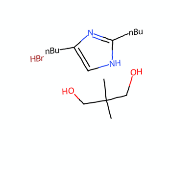 Br.CC(C)(CO)CO.CCCCc1c[nH]c(CCCC)n1